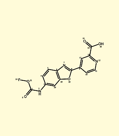 O=C(Nc1ccc2nc(-c3ccnc(C(=O)O)c3)oc2c1)OF